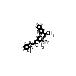 CC(C)c1cc(CC(C)C2Cc3ccccc3N2)cc[n+]1CC(C)c1cnc2c(c1)CCC2